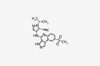 CC(C)n1ncc(Nc2nc3ccc(S(C)(=O)=O)cc3c3cn[nH]c23)c1C#N